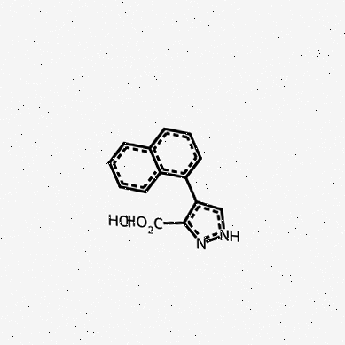 Cl.O=C(O)c1n[nH]cc1-c1cccc2ccccc12